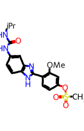 COc1cc(OS(C)(=O)=O)ccc1-c1nc2cc(NC(=O)NC(C)C)ccc2[nH]1